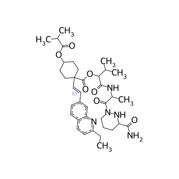 CCc1ccc2ccc(/C=C/C3(C(=O)OC(C(=O)NC(C)C(=O)N4CCCC(C(N)=O)N4)C(C)C)CCC(OC(=O)C(C)C)CC3)cc2n1